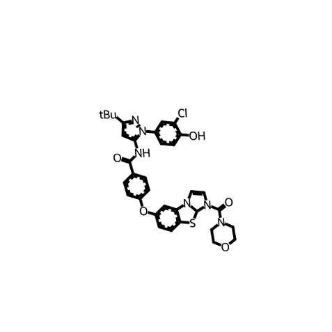 CC(C)(C)c1cc(NC(=O)c2ccc(Oc3ccc4c(c3)N3C=CN(C(=O)N5CCOCC5)C3S4)cc2)n(-c2ccc(O)c(Cl)c2)n1